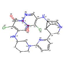 Cn1ncc(NC2CCCN(c3cccc(C4CN5CCC4C(Nc4cnn(C)c(=O)c4Cl)C5)n3)C2)c(Cl)c1=O